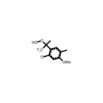 COc1cc(Cl)c(C(C)(OO)C(F)(F)F)cc1C